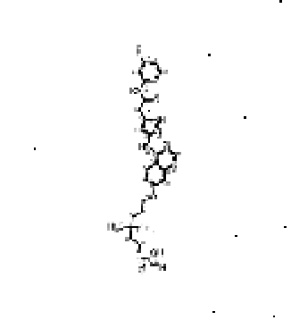 CC(C)(CCCOc1ccc2c(Nc3cc(CC(=O)Nc4cccc(F)c4)[nH]n3)ncnc2c1)CCOP(=O)(O)O